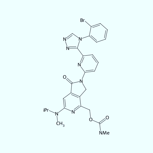 CNC(=O)OCc1nc(N(C)C(C)C)cc2c1CN(c1cccc(-c3nncn3-c3ccccc3Br)n1)C2=O